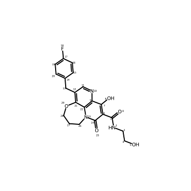 O=C(NCCO)c1c(O)c2ncc(Cc3ccc(F)cc3)c3c2n(c1=O)CCCO3